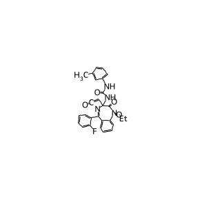 CCON1C(=O)C(C=C=O)(NC(=O)Nc2cccc(C)c2)N=C(c2ccccc2F)c2ccccc21